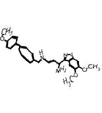 COc1ccc(-c2ccc(CNCCC(N)c3nsc4cc(OC)c(OC)cc34)cc2)cc1